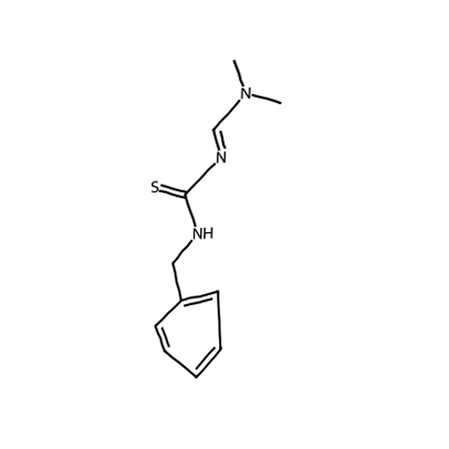 CN(C)C=NC(=S)NCc1ccccc1